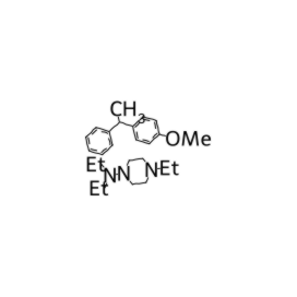 CCN1CCN(N(CC)CC)CC1.COc1ccc(C(C)c2ccccc2)cc1